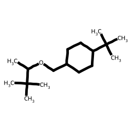 CC(OCC1CCC(C(C)(C)C)CC1)C(C)(C)C